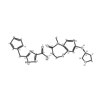 CN1C(=O)[C@@H](NC(=O)c2n[nH]c(Cc3ccccc3)n2)CSc2cc(O[C@H]3CCOC3)ncc21